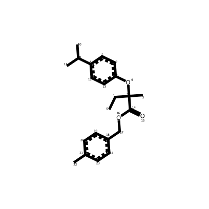 CCC(C)(Oc1ccc(C(C)C)cc1)C(=O)OCc1ccc(C)cc1